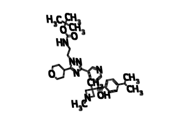 CC(C)c1ccc([C@](O)(c2cncc(-c3nc(C4CCOCC4)n(CCNC(=O)OC(C)(C)C)n3)c2)C2(C)CN(C)C2)cc1